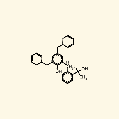 CC(C)(O)c1ccccc1Pc1cc(CC2C=CC=CC2)cc(CC2C=CC=CC2)c1O